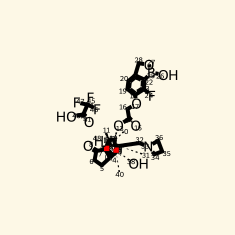 C[C@@H]1CC[C@@]23CCC(=O)[C@H]2[C@]1(C)[C@H](OC(=O)COc1ccc2c(c1F)B(O)OC2)C[C@@](C)(CN1CCC1)[C@@H](O)[C@@H]3C.O=C(O)C(F)(F)F